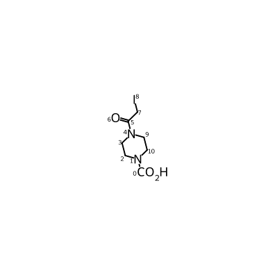 O=C(O)N1CCN(C(=O)CI)CC1